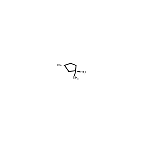 N[C@@]1(C(=O)O)CC[C@@H](O)C1